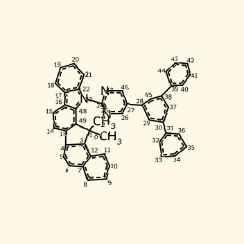 CC1(C)c2c(ccc3ccccc23)-c2ccc3c4ccccc4n(-c4ncc(-c5cc(-c6ccccc6)cc(-c6ccccc6)c5)cn4)c3c21